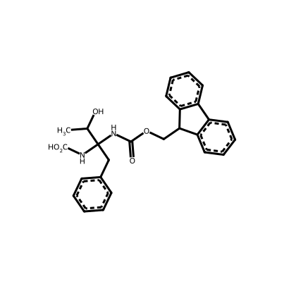 CC(O)C(Cc1ccccc1)(NC(=O)O)NC(=O)OCC1c2ccccc2-c2ccccc21